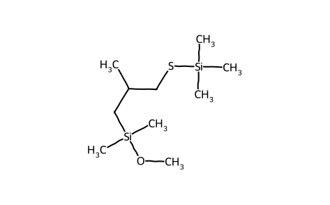 CO[Si](C)(C)CC(C)CS[Si](C)(C)C